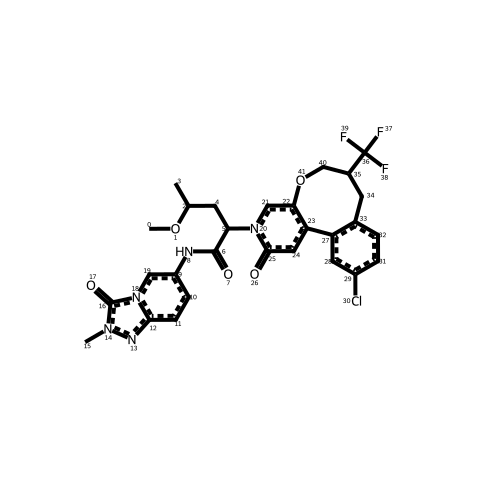 COC(C)CC(C(=O)Nc1ccc2nn(C)c(=O)n2c1)n1cc2c(cc1=O)-c1cc(Cl)ccc1CC(C(F)(F)F)CO2